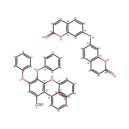 O=C([O-])c1cc(Oc2ccccc2)c(Oc2ccccc2)c(Oc2ccccc2)c1-c1ccccc1.O=c1ccc2ccc([I+]c3ccc4ccc(=O)oc4c3)cc2o1